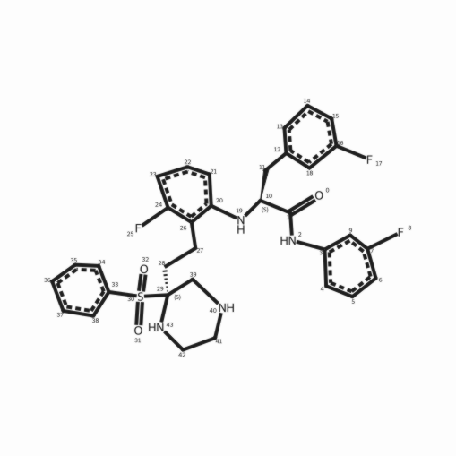 O=C(Nc1cccc(F)c1)[C@H](Cc1cccc(F)c1)Nc1cccc(F)c1CC[C@]1(S(=O)(=O)c2ccccc2)CNCCN1